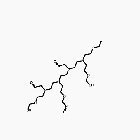 CCOCCN(CCOCO)CCN(CCN(CCOCN=O)CCN(CCOCO)CN=O)CN=O